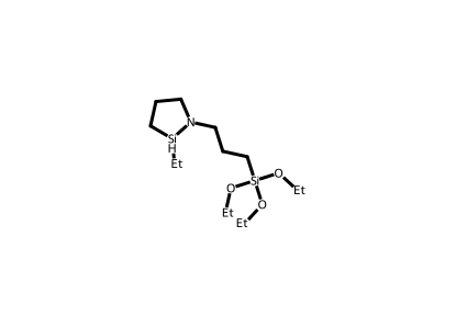 CCO[Si](CCCN1CCC[SiH]1CC)(OCC)OCC